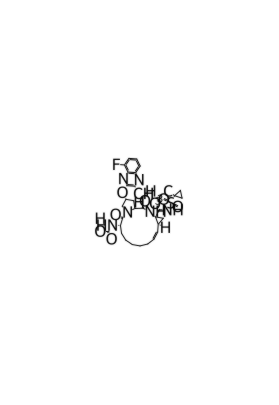 Cc1nc2cccc(F)c2nc1O[C@@H]1C[C@H]2C(=O)N[C@]3(C(=O)NS(=O)(=O)C4(C)CC4)C[C@H]3C=CCCCCC[C@H](NC(=O)O)C(=O)N2C1